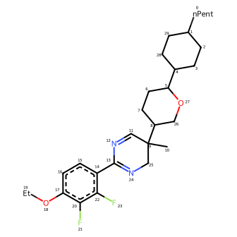 CCCCCC1CCC(C2CCC(C3(C)C=NC(c4ccc(OCC)c(F)c4F)=NC3)CO2)CC1